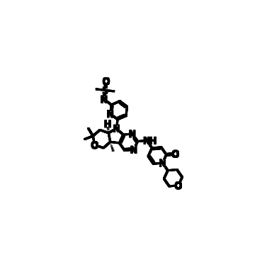 CC1(C)C[C@H]2N(c3cccc(N=S(C)(C)=O)n3)c3nc(Nc4ccn(C5CCOCC5)c(=O)c4)ncc3[C@@]2(C)CO1